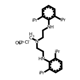 CC(C)c1cccc(C(C)C)c1NCCN(C)CCNc1c(C(C)C)cccc1C(C)C.[Cl-].[Cl-].[Os+2]